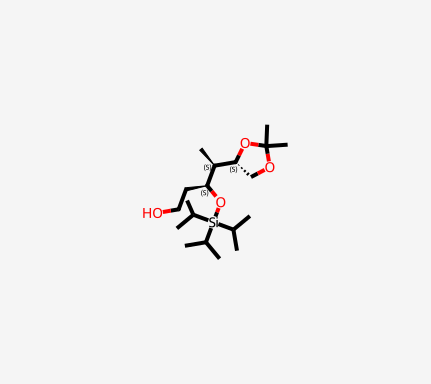 CC(C)[Si](O[C@@H](CCO)[C@@H](C)[C@H]1COC(C)(C)O1)(C(C)C)C(C)C